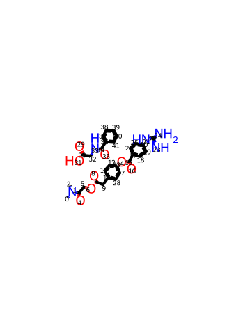 CN(C)C(=O)COC(=O)Cc1ccc(OC(=O)c2ccc(NC(=N)N)cc2)cc1.O=C(O)CNC(=O)c1ccccc1